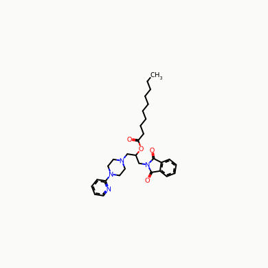 CCCCCCCCCC(=O)OC(CN1CCN(c2ccccn2)CC1)CN1C(=O)c2ccccc2C1=O